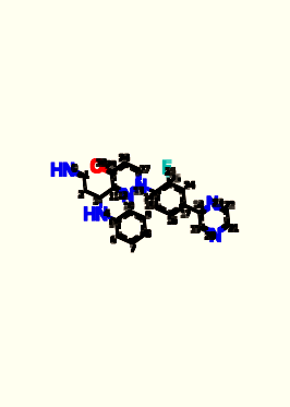 N=CCC(Nc1ccccc1)c1nn(-c2ccc(-c3cnccn3)cc2F)ccc1=O